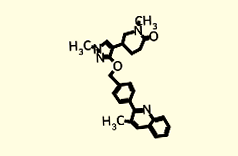 Cc1cc2ccccc2nc1-c1ccc(COc2nn(C)cc2C2CCC(=O)N(C)C2)cc1